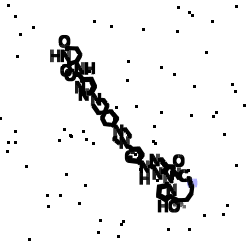 C[C@@]1(O)CC/C=C\Cn2c(=O)c3cnc(Nc4ccc(N5CCN(C6CCC7(CC6)CCN(c6ccc(C(=O)NC8CCC(=O)NC8=O)nn6)CC7)CC5)cc4)nc3n2-c2cccc1n2